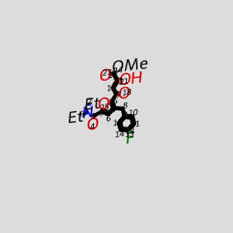 CCN(CC)C(=O)c1cc(Cc2ccc(F)cc2)c(C(=O)C=C(O)C(=O)OC)o1